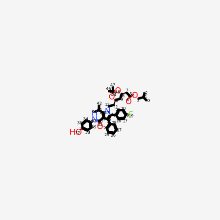 CC(C)COC(=O)C[C@H]1C[C@@H](CCn2c(-c3ccc(F)cc3)c(-c3ccccc3)c(C(=O)Nc3ccc(O)cc3)c2C(C)C)OC(C)(C)O1